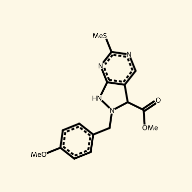 COC(=O)C1c2cnc(SC)nc2NN1Cc1ccc(OC)cc1